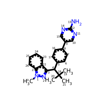 Cn1nc(C(c2ccc(-c3cnc(N)nc3)cc2)C(C)(C)C)c2ccccc21